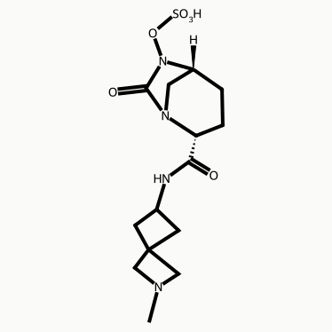 CN1CC2(CC(NC(=O)[C@H]3CC[C@@H]4CN3C(=O)N4OS(=O)(=O)O)C2)C1